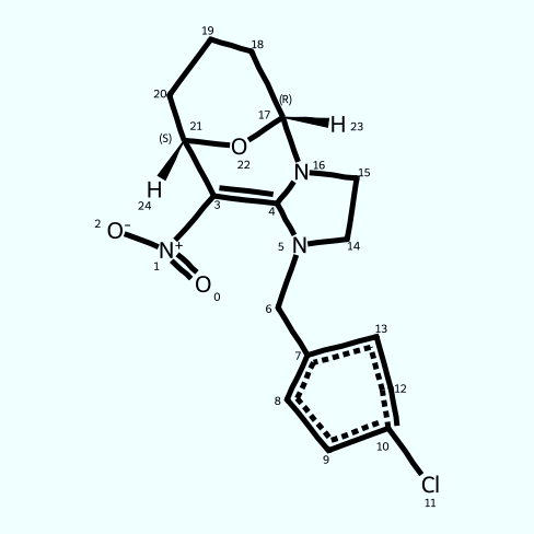 O=[N+]([O-])C1=C2N(Cc3ccc(Cl)cc3)CCN2[C@H]2CCC[C@@H]1O2